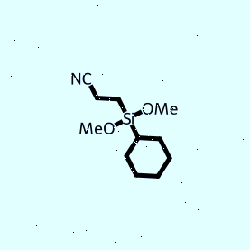 CO[Si](CCC#N)(OC)C1CCCCC1